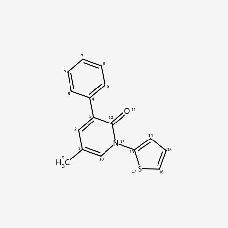 Cc1cc(-c2ccccc2)c(=O)n(-c2cccs2)c1